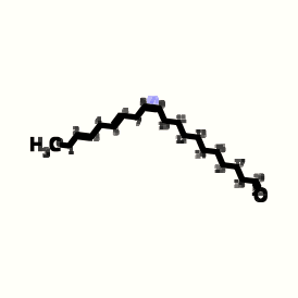 CCC=CCC=CC/C=C\CCCCCCCCCC=O